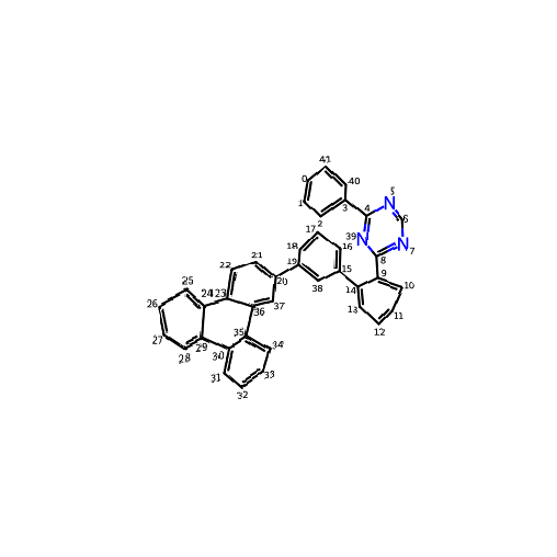 c1ccc(-c2ncnc(-c3ccccc3-c3cccc(-c4ccc5c6ccccc6c6ccccc6c5c4)c3)n2)cc1